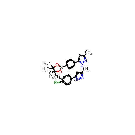 Cc1cc(-c2ccc(B3OC(C)(C)C(C)(C)O3)cc2)[nH]n1.Cc1cc(-c2ccc(Br)cc2)[nH]n1